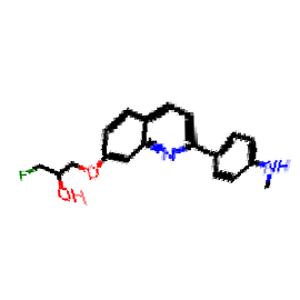 CNc1ccc(-c2ccc3ccc(OCC(O)CF)cc3n2)cc1